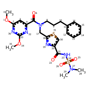 COc1cc(C(=O)N(CCCc2ccccc2)Cc2nc(C(=O)NS(=O)(=O)N(C)C)cs2)nc(OC)n1